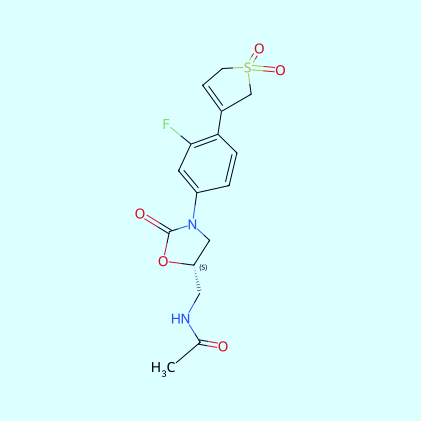 CC(=O)NC[C@H]1CN(c2ccc(C3=CCS(=O)(=O)C3)c(F)c2)C(=O)O1